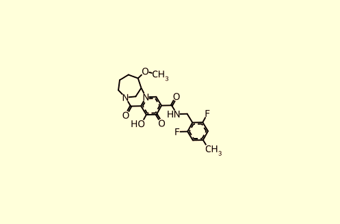 COC1CCCN2CC1n1cc(C(=O)NCc3c(F)cc(C)cc3F)c(=O)c(O)c1C2=O